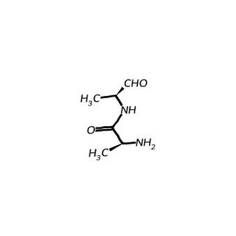 C[C@H](N)C(=O)N[C@@H](C)C=O